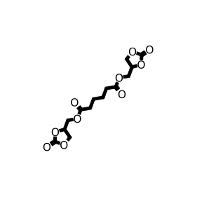 O=C(CCCCC(=O)OCC1COC(=O)O1)OCC1COC(=O)O1